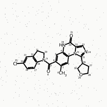 Cc1cc2c(cc1C(=O)N1CCc3cc(Cl)ccc31)[nH]c(=O)c1cnc(C3CCOC3)n12